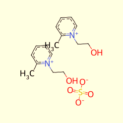 Cc1cccc[n+]1CCO.Cc1cccc[n+]1CCO.O=S(=O)([O-])[O-]